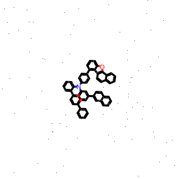 c1ccc(-c2ccc(-c3ccccc3N(c3ccc(-c4cccc5oc6c7ccccc7ccc6c45)cc3)c3cccc(-c4ccc5ccccc5c4)c3)cc2)cc1